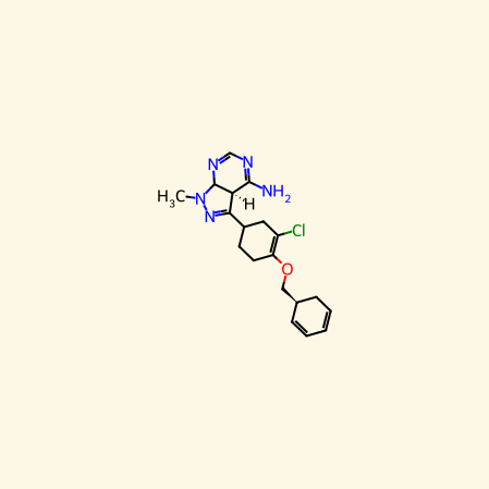 CN1N=C(C2CCC(OC[C@@H]3C=CC=CC3)=C(Cl)C2)[C@@H]2C(N)=NC=NC21